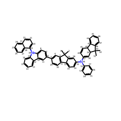 CC1(C)c2cc(-c3ccc4c(c3)c3ccccc3n4-c3cccc4ccccc34)ccc2-c2ccc(N(C3=CC4C(C=C3)c3ccccc3C4(C)C)c3ccccc3)cc21